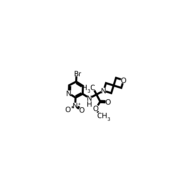 COC(=O)C(C)(Nc1cc(Br)cnc1[N+](=O)[O-])N1CC2(COC2)C1